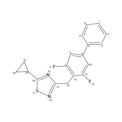 Fc1cc(-c2ccccc2)cc(F)c1Cc1nsc(C2CC2)n1